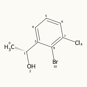 C[C@@H](O)c1cccc(Cl)c1Br